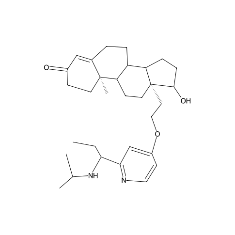 CCC(NC(C)C)c1cc(OCC[C@]23CCC4C(CCC5=CC(=O)CC[C@@]54C)C2CCC3O)ccn1